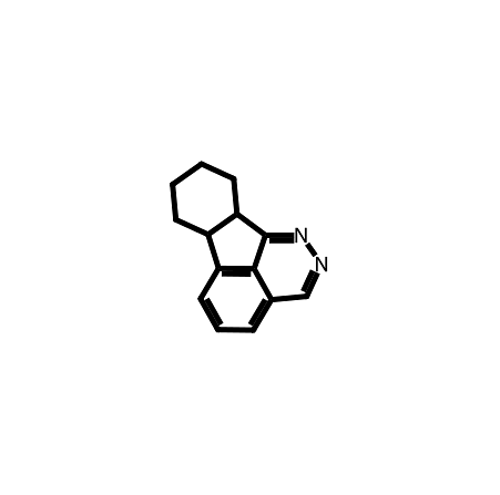 c1cc2c3c(nncc3c1)C1CCCCC21